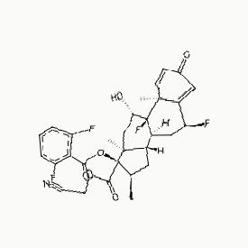 C[C@@H]1C[C@H]2[C@@H]3C[C@H](F)C4=CC(=O)C=C[C@]4(C)[C@@]3(F)[C@@H](O)C[C@]2(C)[C@@]1(OC(=O)c1c(F)cccc1F)C(=O)OCC#N